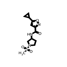 CS(=O)(=O)N1CCC(NC(=O)c2cc(C3CC3)on2)C1